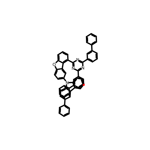 c1ccc(-c2cccc(-c3nc(-c4cccc(-c5ccccc5)c4)nc(-c4cccc5oc6ccc(-n7c8ccccc8c8cc(-c9ccccc9)ccc87)cc6c45)n3)c2)cc1